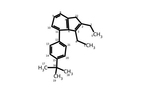 CCC1=C(CC)c2c(cccc2-c2ccc(C(C)(C)C)cc2)[CH]1